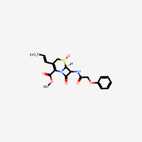 CCOC(=O)C=CC1=C(C(=O)OC(C)(C)C)N2C(=O)C(NC(=O)COc3ccccc3)[C@@H]2[S+]([O-])C1